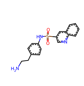 NCCc1ccc(NS(=O)(=O)c2cnc3ccccc3c2)cc1